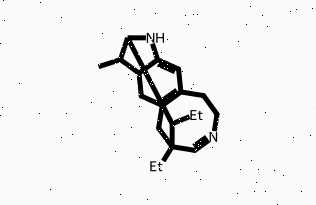 CCC1C2NC3=CC4=C(CC3C2C)CC1(CC)/C=N\CC4